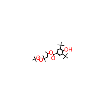 CC(CC(C)(C)OOC(C)(C)C)OC(=O)c1cc(C(C)(C)C)c(O)c(C(C)(C)C)c1